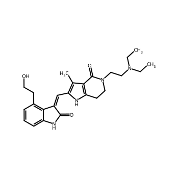 CCN(CC)CCN1CCc2[nH]c(/C=C3\C(=O)Nc4cccc(CCO)c43)c(C)c2C1=O